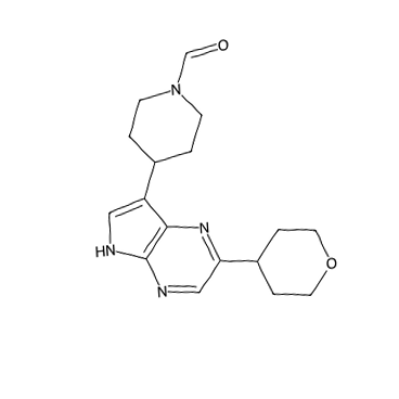 O=CN1CCC(c2c[nH]c3ncc(C4CCOCC4)nc23)CC1